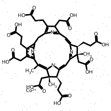 C/C1=C2/[N-]/C(=C\C3=NC(=C\C4=NC(=C(CCC(=O)O)C4CC(=O)O)Cc4[n-]c1c(CC(=O)O)c4CCC(=O)O)/[C@@H](CCC(=O)O)[C@]3(C)CC(=O)O)[C@@H](CCC(=O)O)[C@]2(C)CC(=O)O.[Co+2]